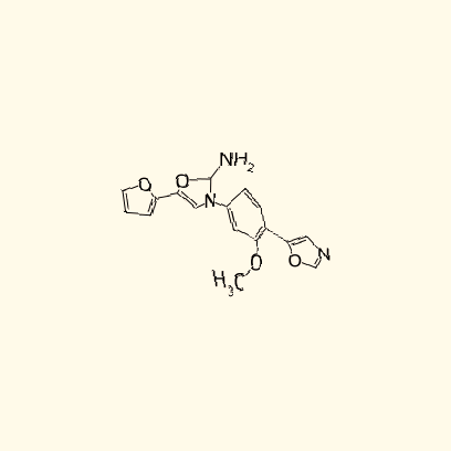 COc1cc(N2C=C(c3ccco3)OC2N)ccc1-c1cnco1